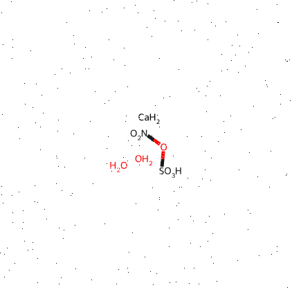 O.O.O=[N+]([O-])OS(=O)(=O)O.[CaH2]